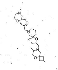 CC1COC2(CCC2)CN1CC1COC2(CCCN(CC3CC4(CO3)CN(C)CCO4)C2)O1